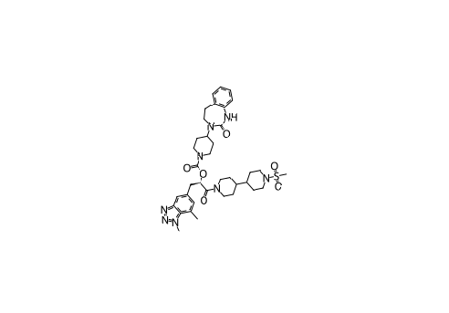 Cc1cc(C[C@@H](OC(=O)N2CCC(N3CCc4ccccc4NC3=O)CC2)C(=O)N2CCC(C3CCN(S(C)(=O)=O)CC3)CC2)cc2nnn(C)c12